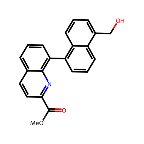 COC(=O)c1ccc2cccc(-c3cccc4c(CO)cccc34)c2n1